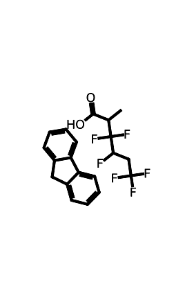 CC(C(=O)O)C(F)(F)C(F)CC(F)(F)F.c1ccc2c(c1)Cc1ccccc1-2